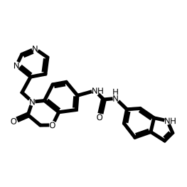 O=C(Nc1ccc2c(c1)OCC(=O)N2Cc1ccncn1)Nc1ccc2cc[nH]c2c1